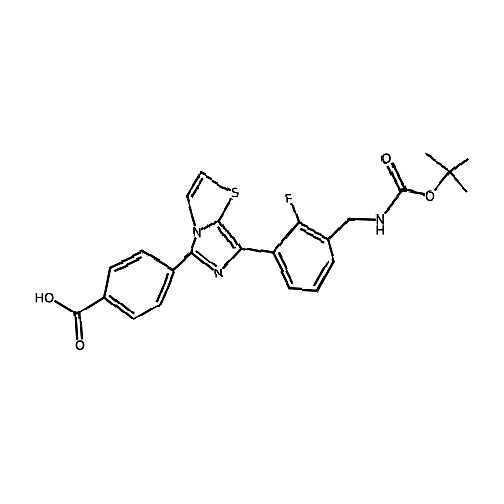 CC(C)(C)OC(=O)NCc1cccc(-c2nc(-c3ccc(C(=O)O)cc3)n3ccsc23)c1F